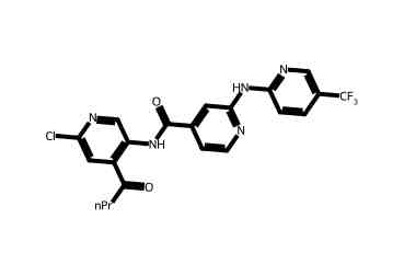 CCCC(=O)c1cc(Cl)ncc1NC(=O)c1ccnc(Nc2ccc(C(F)(F)F)cn2)c1